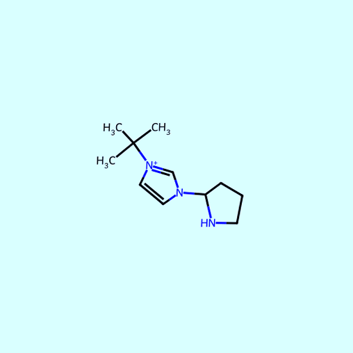 CC(C)(C)[n+]1ccn(C2CCCN2)c1